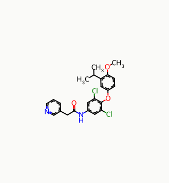 COc1ccc(Oc2c(Cl)cc(NC(=O)Cc3cccnc3)cc2Cl)cc1C(C)C